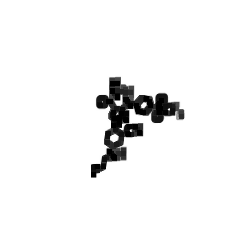 N#CC1CC(NCCF)CCC1n1cc(C(N)=O)c(Nc2ccc(S(=O)(=O)C(F)(F)F)cc2)n1